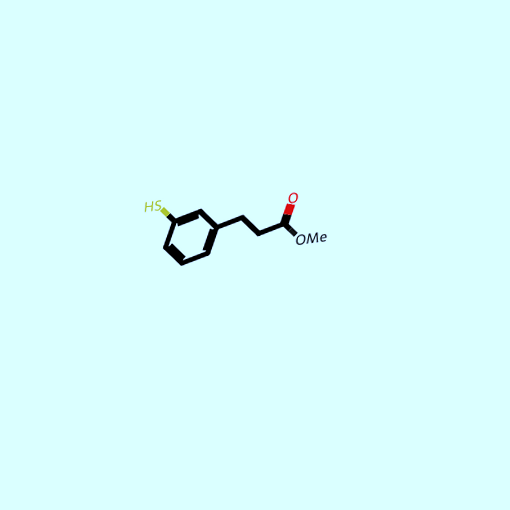 COC(=O)CCc1cccc(S)c1